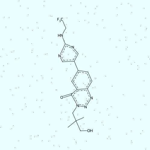 CC(C)(CO)Cn1nnc2ccc(-c3cnc(NCC(F)(F)F)nc3)cc2c1=O